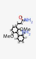 COc1ccc(C=CC(N)=O)c(OC)c1-c1ccccc1N